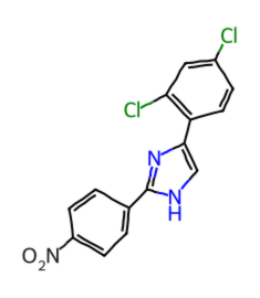 O=[N+]([O-])c1ccc(-c2nc(-c3ccc(Cl)cc3Cl)c[nH]2)cc1